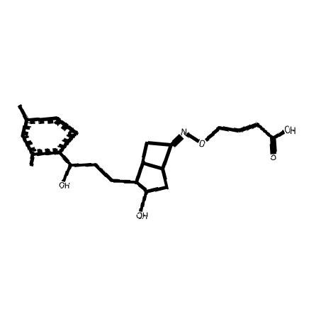 Cc1ccc(C(O)CCC2C(O)CC3C(=NOCCCC(=O)O)CC32)c(C)c1